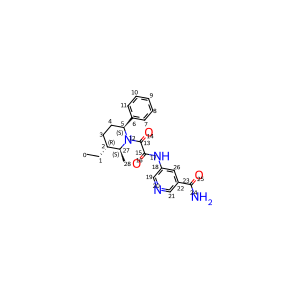 CC[C@@H]1CC[C@@H](c2ccccc2)N(C(=O)C(=O)Nc2cncc(C(N)=O)c2)[C@H]1C